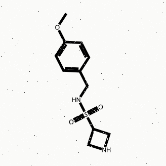 COc1ccc(CNS(=O)(=O)C2CNC2)cc1